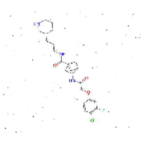 O=C(COc1ccc(Cl)c(F)c1)NC1CC2(C(=O)NCCCC3CCCNC3)CC1C2